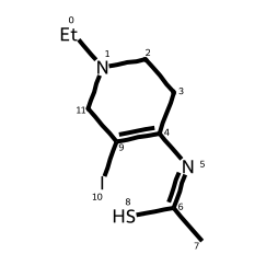 CCN1CCC(/N=C(/C)S)=C(I)C1